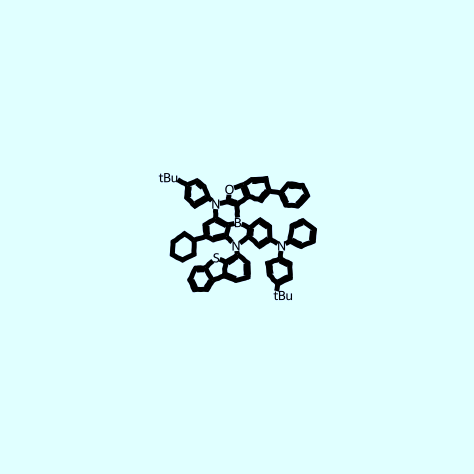 CC(C)(C)c1ccc(N(c2ccccc2)c2ccc3c(c2)N(c2cccc4c2sc2ccccc24)c2cc(C4CCCCC4)cc4c2B3c2c(oc3ccc(-c5ccccc5)cc23)N4c2ccc(C(C)(C)C)cc2)cc1